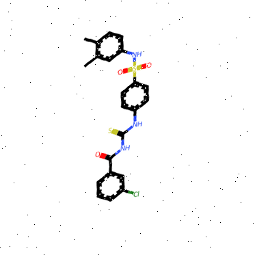 Cc1ccc(NS(=O)(=O)c2ccc(NC(=S)NC(=O)c3cccc(Cl)c3)cc2)cc1C